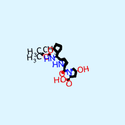 CC(C)(C)OC(=O)N[C@H](c1ccc(C(=O)N2C[C@H](O)C[C@H]2C(=O)O)[nH]1)C1CCCC1